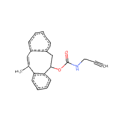 C#CCNC(=O)OC1Cc2ccccc2/C=C(/C)c2ccccc21